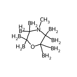 BC1(B)OC(B)(B)C(B)(B)N(C)C1(B)B